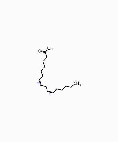 CCCCC/C=C\C/C=C\CCCCCC(=O)O